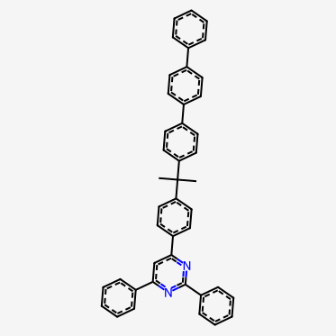 CC(C)(c1ccc(-c2ccc(-c3ccccc3)cc2)cc1)c1ccc(-c2cc(-c3ccccc3)nc(-c3ccccc3)n2)cc1